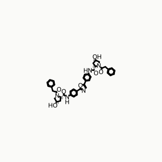 O=C(Nc1ccc(-c2cnc(-c3ccc(NC(=O)[C@@H]4C[C@@H](O)CN4C(=O)Cc4ccccc4)cc3)o2)cc1)[C@@H]1C[C@@H](O)CN1C(=O)Cc1ccccc1